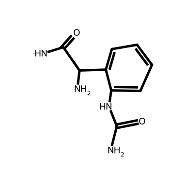 [NH]C(=O)C(N)c1ccccc1NC(N)=O